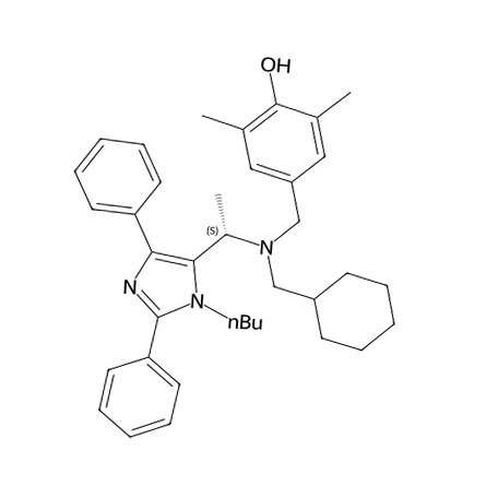 CCCCn1c(-c2ccccc2)nc(-c2ccccc2)c1[C@H](C)N(Cc1cc(C)c(O)c(C)c1)CC1CCCCC1